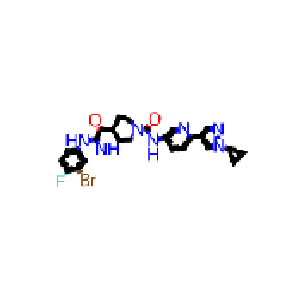 N=C(Nc1ccc(F)c(Br)c1)C(=O)C1CCN(C(=O)Nc2ccc(-c3cnn(C4CC4)c3)nc2)CC1